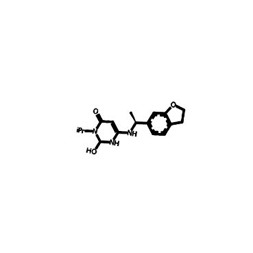 CC(C)N1C(=O)C=C(N[C@@H](C)c2ccc3c(c2)OCC3)NC1O